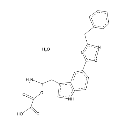 NC(Cc1c[nH]c2ccc(-c3nc(Cc4ccccc4)no3)cc12)OC(=O)C(=O)O.O